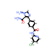 NC(=O)c1c(-c2ccc(C(=O)Nc3cc(Cl)ccn3)cc2)ncn1N